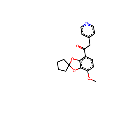 COc1ccc(C(=O)Cc2ccncc2)c2c1OC1(CCCC1)O2